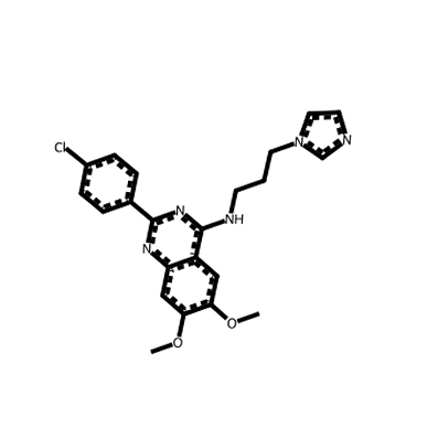 COc1cc2nc(-c3ccc(Cl)cc3)nc(NCCCn3ccnc3)c2cc1OC